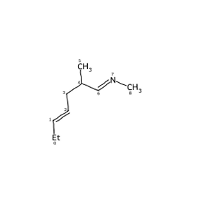 CC/C=C/CC(C)/C=N/C